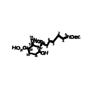 CCCCCCCCCCCCCCCCN1C(O)CCC(C(=O)O)C1CCCCCCCCC